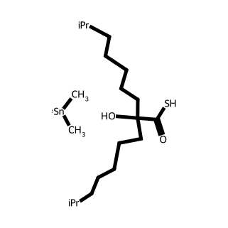 CC(C)CCCCCC(O)(CCCCCC(C)C)C(=O)S.[CH3][Sn][CH3]